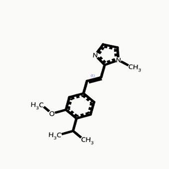 COc1cc(/C=C/c2nccn2C)ccc1C(C)C